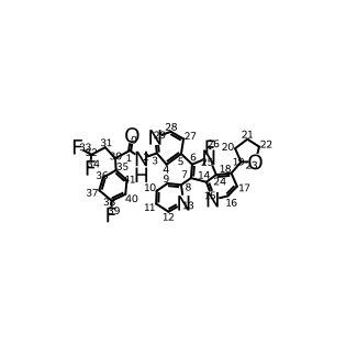 O=C(Nc1cc(-c2c(-c3ccccn3)c3nccc(C4CCCO4)c3n2F)ccn1)C(CC(F)F)c1ccc(F)cc1